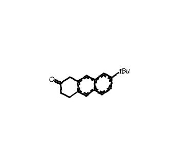 CC(C)(C)c1ccc2cc3c(cc2c1)CC(=O)CC3